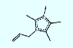 C=CC[n+]1c(C)c(C)n(C)c1C